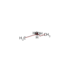 CCCCCCCCC/C=C\CC/C=C/C(O)C(CO)NC(=O)CCCCCCCCCCCCCCCCCCCCCCC